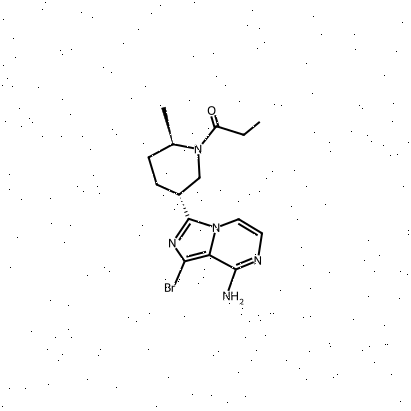 CCC(=O)N1C[C@H](c2nc(Br)c3c(N)nccn23)CC[C@H]1C